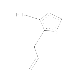 C=CCc1sccc1N